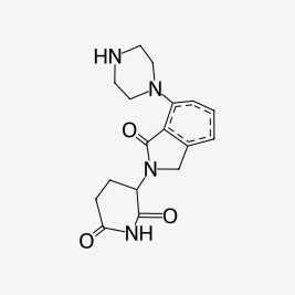 O=C1CCC(N2Cc3cccc(N4CCNCC4)c3C2=O)C(=O)N1